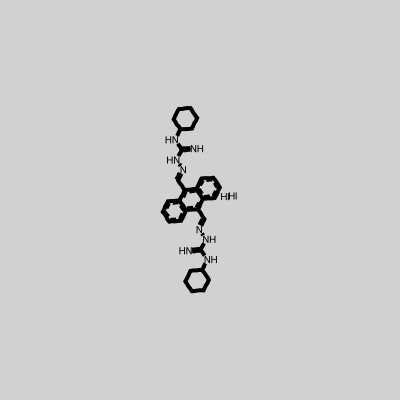 I.I.N=C(NN=Cc1c2ccccc2c(C=NNC(=N)NC2CCCCC2)c2ccccc12)NC1CCCCC1